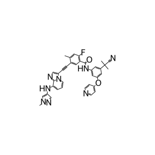 Cc1cc(F)c(C(=O)Nc2cc(Oc3ccncc3)cc(C(C)(C)C#N)c2)cc1C#Cc1cnc2c(Nc3cnn(C)c3)cccn12